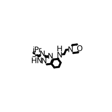 CC(C)SC1=NC2=NC3=C(CCCC3NCCN3CCOCC3)CN2N1